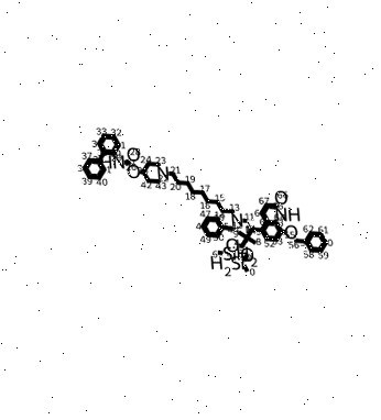 C[SiH2]OC(O[SiH2]C)C(C)(C)[C@H](CN(CCCCCCCCCN1CCC(OC(=O)Nc2ccccc2-c2ccccc2)CC1)Cc1ccccc1)c1ccc(OCc2ccccc2)c2[nH]c(=O)ccc12